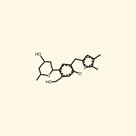 Cc1cc(Cc2cc(C3CC(O)CC(C)O3)c(CO)cc2Cl)sc1F